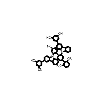 N#Cc1cc(C#N)cc(-c2ccc3c(c2)c2ccccc2n3-c2cc(C#N)ccc2-c2ccc(-c3c(C(F)(F)F)cccc3C(F)(F)F)cc2-n2c3ccccc3c3cc(-c4cc(C#N)cc(C#N)c4)ccc32)c1